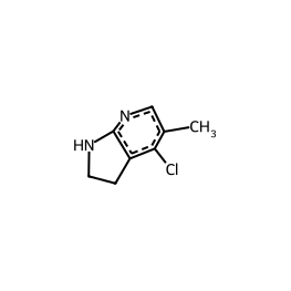 Cc1cnc2c(c1Cl)CCN2